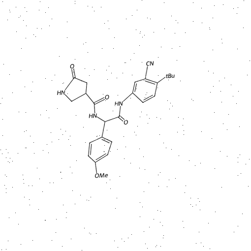 COc1ccc(C(NC(=O)C2CNC(=O)C2)C(=O)Nc2ccc(C(C)(C)C)c(C#N)c2)cc1